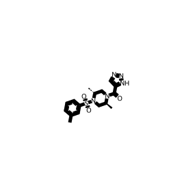 Cc1cccc(S(=O)(=O)N2C[C@H](C)N(C(=O)c3cnn[nH]3)C[C@H]2C)c1